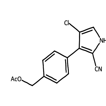 CC(=O)OCc1ccc(-c2c(Cl)c[nH]c2C#N)cc1